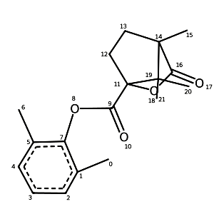 Cc1cccc(C)c1OC(=O)C12CCC(C)(C(=O)O1)C2(C)C